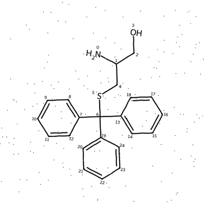 NC(CO)CSC(c1ccccc1)(c1ccccc1)c1ccccc1